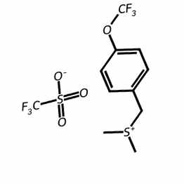 C[S+](C)Cc1ccc(OC(F)(F)F)cc1.O=S(=O)([O-])C(F)(F)F